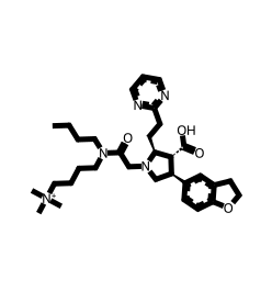 CCCCN(CCCC[N+](C)(C)C)C(=O)CN1C[C@H](c2ccc3c(c2)CCO3)[C@@H](C(=O)O)[C@@H]1CCc1ncccn1